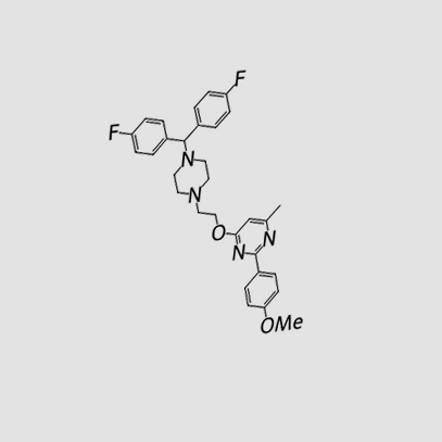 COc1ccc(-c2nc(C)cc(OCCN3CCN(C(c4ccc(F)cc4)c4ccc(F)cc4)CC3)n2)cc1